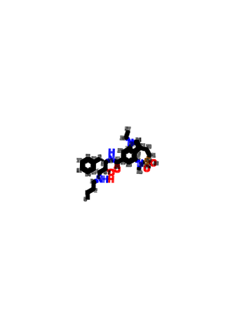 CCCCNC[C@@H](O)[C@H](Cc1ccccc1)NC(=O)c1cc2c3c(cn(CC)c3c1)CCS(=O)(=O)N2C